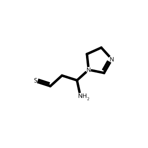 NC(CC=S)N1C=NCC1